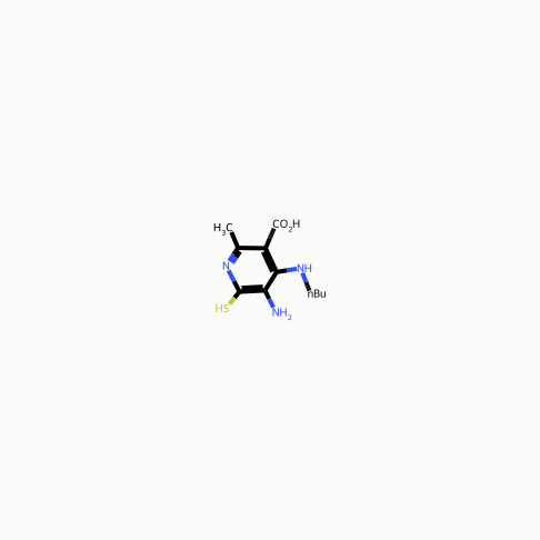 CCCCNc1c(N)c(S)nc(C)c1C(=O)O